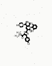 CCc1cccc(CC)c1-n1c(CC(C)C)c(C(=O)N2CCNCC2)cc(-c2nc(-c3ccc(Cl)cc3)c(C(=O)N(C)C)s2)c1=O